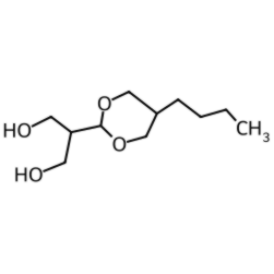 CCCCC1COC(C(CO)CO)OC1